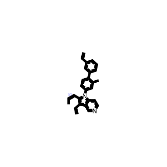 C=Cc1cccc(-c2ccc(-n3c(/C=C\C)c(C=C)c4cnccc43)cc2C)c1